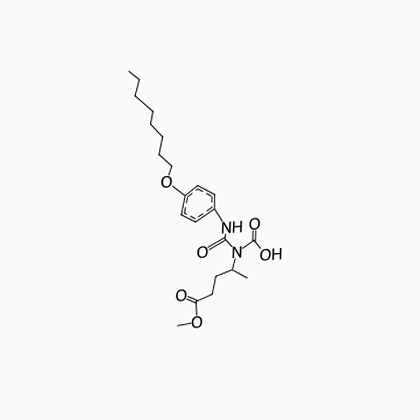 CCCCCCCCOc1ccc(NC(=O)N(C(=O)O)C(C)CCC(=O)OC)cc1